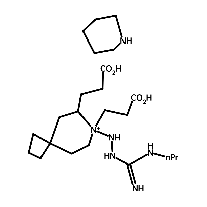 C1CCNCC1.CCCNC(=N)NN[N+]1(CCC(=O)O)CCC2(CCC2)CC1CCC(=O)O